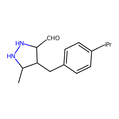 CC(C)c1ccc(CC2C(C)NNC2C=O)cc1